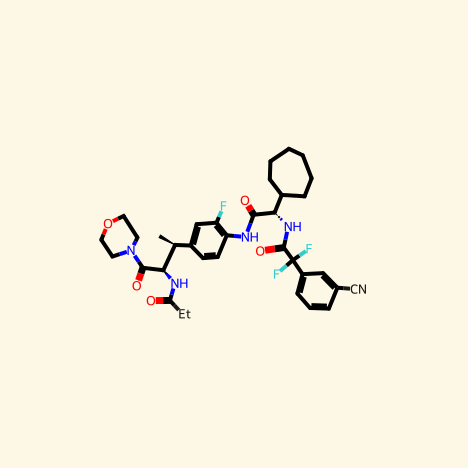 CCC(=O)N[C@@H](C(=O)N1CCOCC1)[C@@H](C)c1ccc(NC(=O)[C@@H](NC(=O)C(F)(F)c2cccc(C#N)c2)C2CCCCCC2)c(F)c1